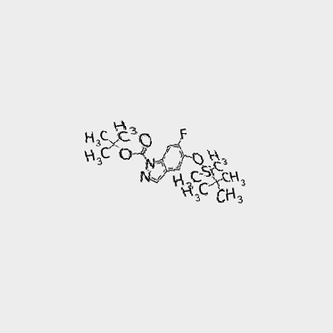 CC(C)(C)OC(=O)n1ncc2cc(O[Si](C)(C)C(C)(C)C)c(F)cc21